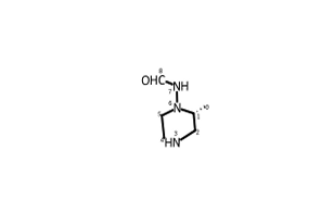 C[C@@H]1CNCCN1NC=O